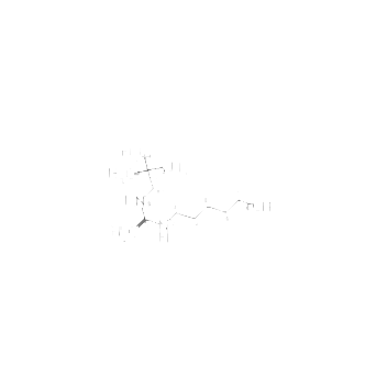 C=C(NCCCCCC)NCC(C)(C)C